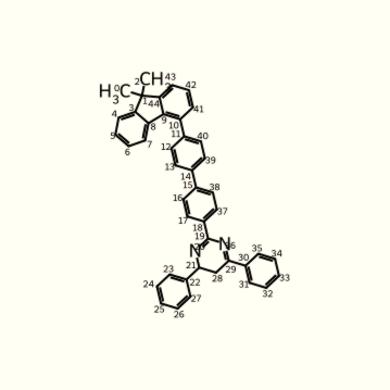 CC1(C)c2ccccc2-c2c(-c3ccc(-c4ccc(C5=NC(c6ccccc6)CC(c6ccccc6)=N5)cc4)cc3)cccc21